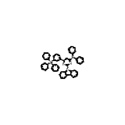 c1ccc(N(c2ccccc2)c2cc(-c3cccc([Si](c4ccccc4)(c4ccccc4)c4ccccc4)c3)nc(-n3c4ccccc4c4ccccc43)n2)cc1